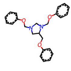 c1ccc(OCC2CN(COc3ccccc3)CN2COc2ccccc2)cc1